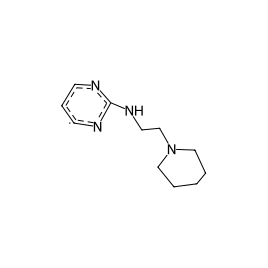 [c]1ccnc(NCCN2CCCCC2)n1